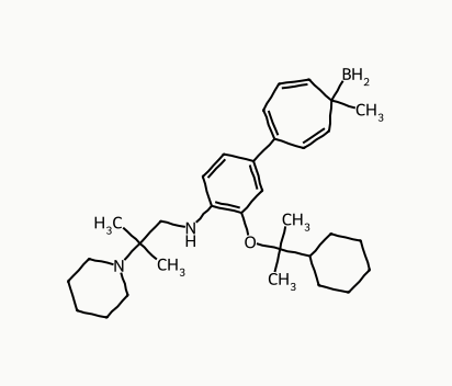 BC1(C)C=CC=C(c2ccc(NCC(C)(C)N3CCCCC3)c(OC(C)(C)C3CCCCC3)c2)C=C1